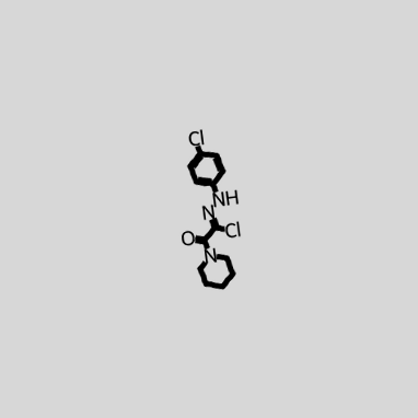 O=C(C(Cl)=NNc1ccc(Cl)cc1)N1CCCCC1